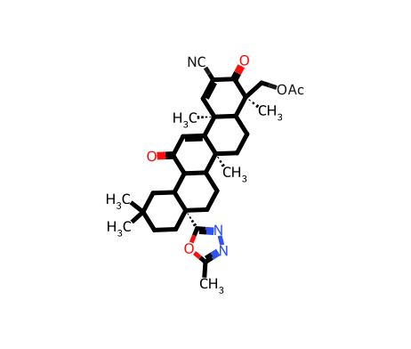 CC(=O)OC[C@]1(C)C(=O)C(C#N)=C[C@]2(C)C3=CC(=O)C4C5CC(C)(C)CC[C@]5(c5nnc(C)o5)CCC4[C@]3(C)CCC21